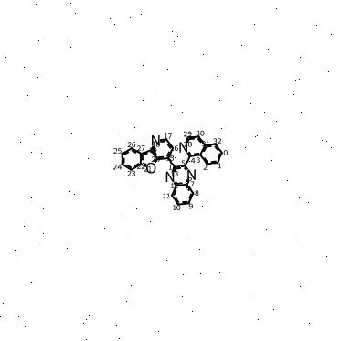 c1ccc2c(-c3nc4ccccc4nc3-c3ccnc4c3oc3ccccc34)nccc2c1